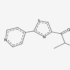 CC(C)C(=O)c1csc(-c2ccncc2)n1